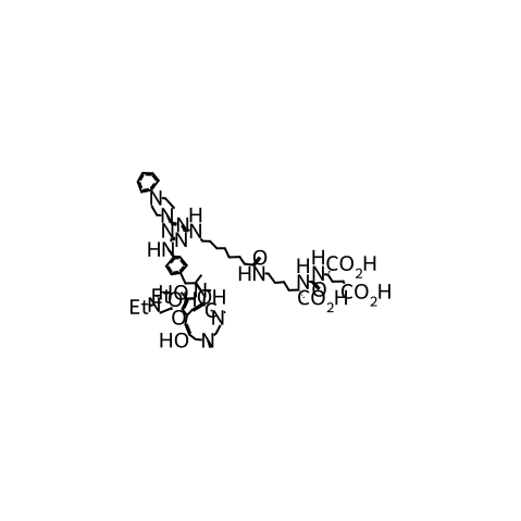 CCN(CC)CC(O)OC1(/C=C(/O)CN(C)C(C)Cc2ccc(Nc3nc(NCCCCCCCC(=O)NCCCC[C@H](NC(=O)N[C@@H](CCC(=O)O)C(=O)O)C(=O)O)nc(N4CCN(c5ccccc5)CC4)n3)cc2)/C=C(/O)CN(C)CCN(C)C/C(O)=C\1